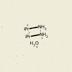 CC(C)N.CC(C)N.O